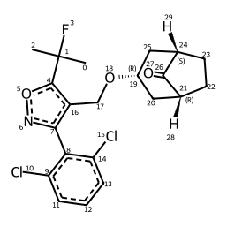 CC(C)(F)c1onc(-c2c(Cl)cccc2Cl)c1CO[C@H]1C[C@H]2CC[C@@H](C1)C2=O